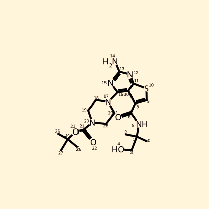 CC(C)(CO)NC(=O)c1csc2nc(N)nc(N3CCN(C(=O)OC(C)(C)C)CC3)c12